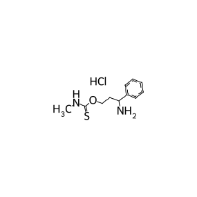 CNC(=S)OCCC(N)c1ccccc1.Cl